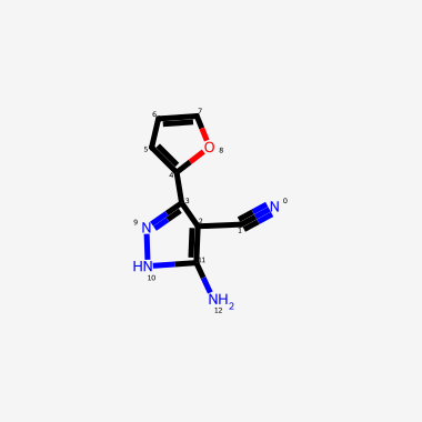 N#Cc1c(-c2ccco2)n[nH]c1N